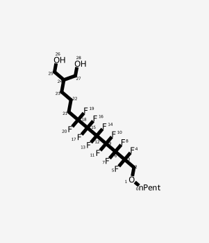 CCCCCOCC(F)(F)C(F)(F)C(F)(F)C(F)(F)C(F)(F)C(F)(F)CCCC(CO)CO